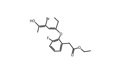 CCOC(=O)Cc1cccc(F)c1OC(=C/C(Br)=C(\C)O)CC